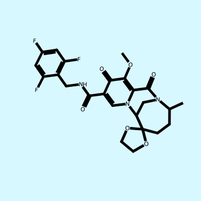 COc1c2n(cc(C(=O)NCc3c(F)cc(F)cc3F)c1=O)C1CN(C2=O)C(C)CCC12OCCO2